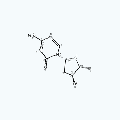 CC[C@H]1O[C@@H](n2cnc(N)nc2=O)C[C@@H]1O